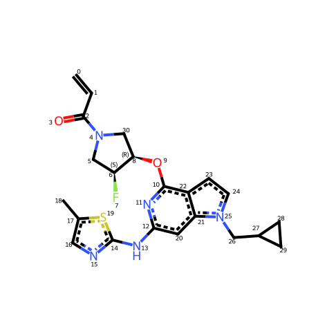 C=CC(=O)N1C[C@H](F)[C@H](Oc2nc(Nc3ncc(C)s3)cc3c2ccn3CC2CC2)C1